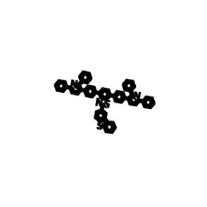 c1ccc(-c2ccc(-c3ccc(-c4ccc(-c5ccc(-c6ccc(-c7ccccc7)nc6-c6ccccc6)cc5)c5sc(-c6ccc7sc8ccccc8c7c6)nc45)cc3)c(-c3ccccc3)n2)cc1